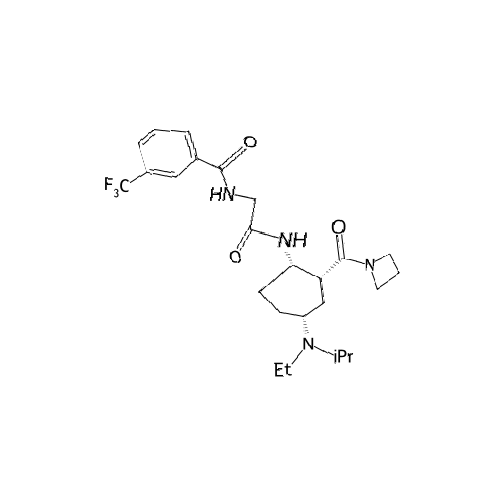 CCN(C(C)C)[C@@H]1CC[C@H](NC(=O)CNC(=O)c2cccc(C(F)(F)F)c2)[C@H](C(=O)N2CCC2)C1